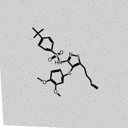 C=CCCCc1snc(NS(=O)(=O)c2ccc(C(C)(C)C)cc2)c1Sc1ccc(OC)c(OC)c1